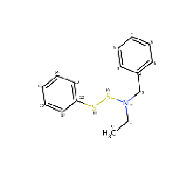 CCN(Cc1ccccc1)SSc1ccccc1